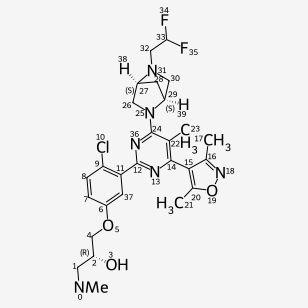 CNC[C@@H](O)COc1ccc(Cl)c(-c2nc(-c3c(C)noc3C)c(C)c(N3C[C@@H]4C[C@H]3CN4CC(F)F)n2)c1